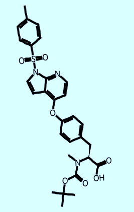 Cc1ccc(S(=O)(=O)n2ccc3c(Oc4ccc(C[C@@H](C(=O)O)N(C)C(=O)OC(C)(C)C)cc4)ccnc32)cc1